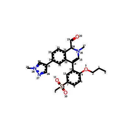 CCCOc1ccc(S(C)(=O)=O)cc1C1=CN(C)C(C=O)c2ccc(-c3cnn(C)c3)cc21